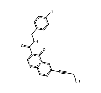 O=C(NCc1ccc(Cl)cc1)c1cnc2cnc(C#CCO)cn2c1=O